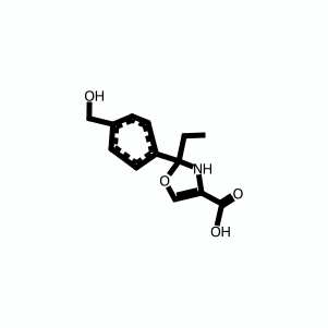 CCC1(c2ccc(CO)cc2)NC(C(=O)O)=CO1